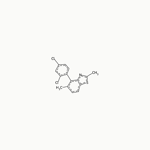 Cc1nc2c(-c3ccc(Cl)cc3Cl)c(C)ccc2s1